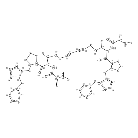 CN[C@@H](C)C(=O)NC(C(=O)N1CCCC1Cn1nnnc1Cc1ccccc1)C(C)OCC#CC#CCOC(C)C(NC(=O)[C@H](C)NC)C(=O)N1CCCC1Cn1nnnc1Cc1ccccc1